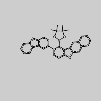 CC1(C)OB(c2c(-c3ccc4sc5ccccc5c4c3)ccc3oc4cc5ccccc5cc4c23)OC1(C)C